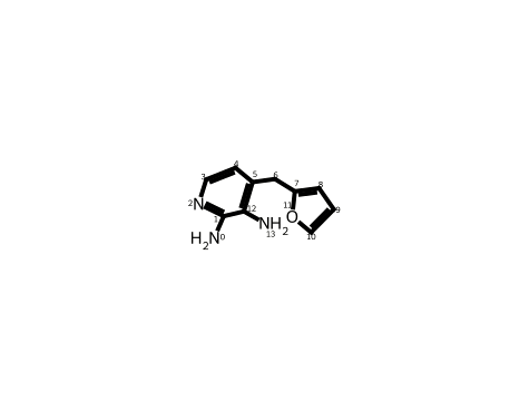 Nc1nccc(Cc2ccco2)c1N